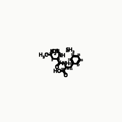 CC(C)CC(NN)C(=O)NC(Cc1ccccc1)C(=O)O.S